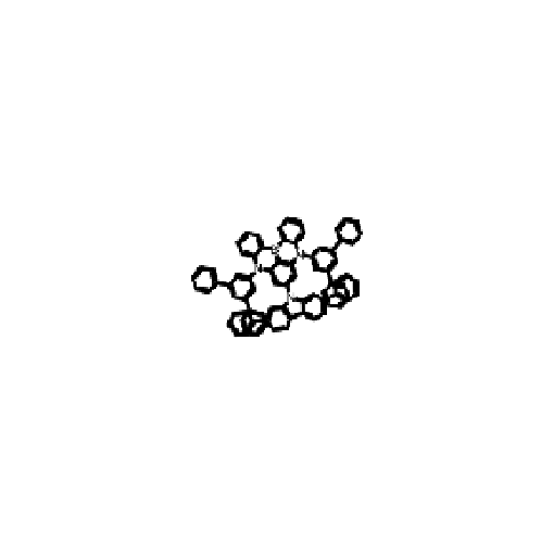 c1ccc(-c2cc(-c3ccccc3)cc(N3c4ccccc4B4c5ccccc5N(c5cc(-c6ccccc6)cc(-c6ccccc6)c5)c5cc(-n6c7cc(-c8ccccc8)ccc7c7ccc(-c8ccccc8)cc76)cc3c54)c2)cc1